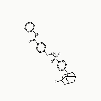 O=C(Nc1cccnc1)c1ccc(CNS(=O)(=O)c2ccc(C34CC5CC(CC(Cl)(C5)C3)C4)cc2)cc1